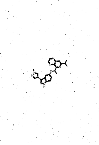 CC(C)c1cc2nccnc2c(C(C)Oc2ccc3[nH]nc(-c4cnn(C)c4)c3c2)n1